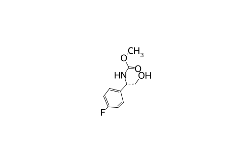 COC(=O)N[C@H](CO)c1ccc(F)cc1